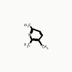 Cc1ccc(C)c(C(F)(F)F)n1